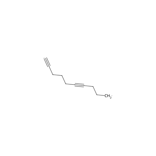 [C]#CCCCC#CCC[CH2]